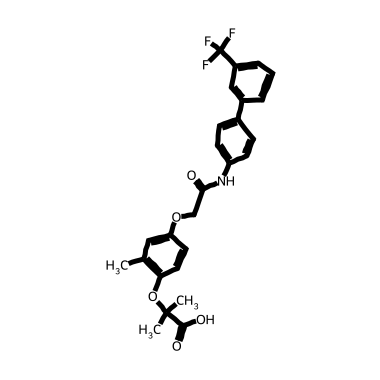 Cc1cc(OCC(=O)Nc2ccc(-c3cccc(C(F)(F)F)c3)cc2)ccc1OC(C)(C)C(=O)O